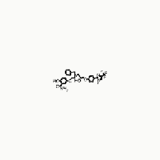 Cn1cc(C(F)(F)F)nc1-c1ccc(OCC(O)CN(CCOc2ccc(O)c(C(N)=O)c2)Cc2ccccc2)cc1